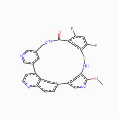 COc1ncc2cc1NSc1cc(c(F)cc1F)C(=O)NCc1cncc(c1)-c1ccnc3ccc-2cc13